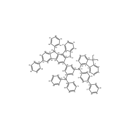 CC1(C)c2ccccc2-c2c(N(c3ccc(-c4ccccc4)cc3)c3cc(-c4cc5c6cc(-c7ccccc7)ccc6n(-c6ccccc6)c5c5c4sc4ccccc45)cc(N(c4ccccc4)c4ccccc4)c3)cccc21